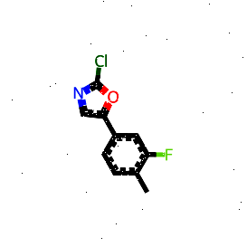 Cc1ccc(-c2cnc(Cl)o2)cc1F